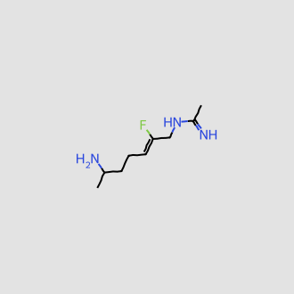 CC(=N)NC/C(F)=C/CCC(C)N